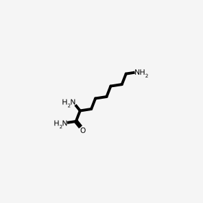 NCCCCCCC(N)C(N)=O